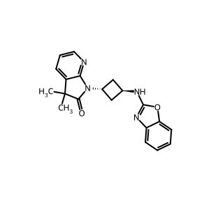 CC1(C)C(=O)N([C@H]2C[C@H](Nc3nc4ccccc4o3)C2)c2ncccc21